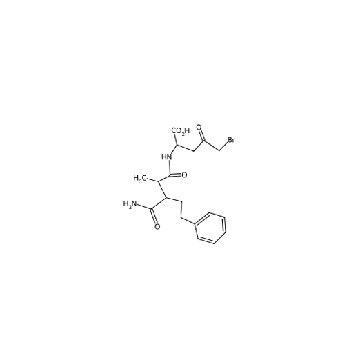 CC(C(=O)NC(CC(=O)CBr)C(=O)O)C(CCc1ccccc1)C(N)=O